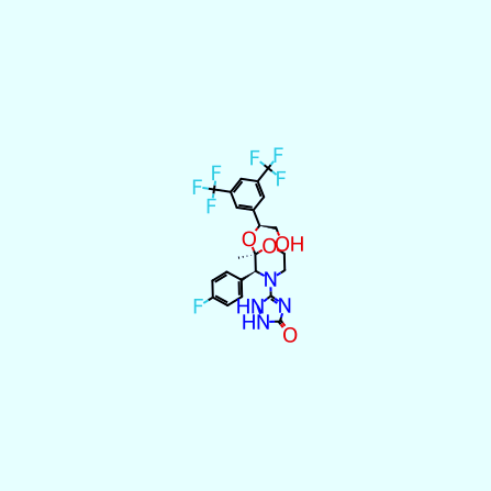 C[C@]1(O[C@H](CO)c2cc(C(F)(F)F)cc(C(F)(F)F)c2)OCCN(c2nc(=O)[nH][nH]2)[C@H]1c1ccc(F)cc1